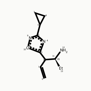 C=CC(c1nc(C2CC2)no1)[C@@H](N)CC